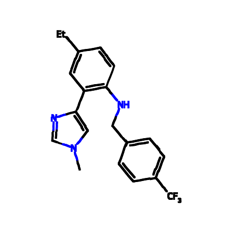 CCc1ccc(NCc2ccc(C(F)(F)F)cc2)c(-c2cn(C)cn2)c1